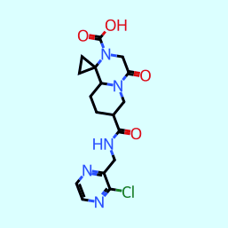 O=C(NCc1nccnc1Cl)C1CCC2N(C1)C(=O)CN(C(=O)O)C21CC1